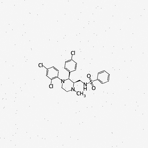 CN1CCN(c2ccc(Cl)cc2Cl)[C@@H](c2ccc(Cl)cc2)[C@H]1CNS(=O)(=O)c1ccccc1